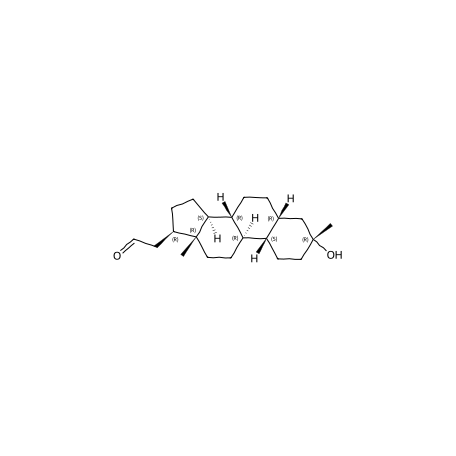 C[C@@]1(O)CC[C@H]2[C@H](CC[C@@H]3[C@@H]2CC[C@]2(C)[C@@H](CC=O)CC[C@@H]32)C1